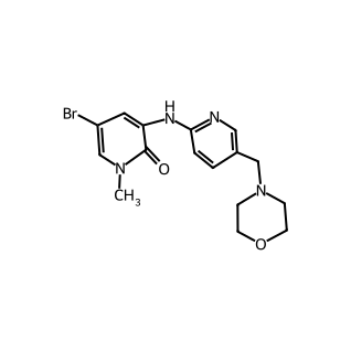 Cn1cc(Br)cc(Nc2ccc(CN3CCOCC3)cn2)c1=O